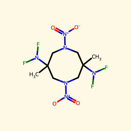 CC1(N(F)F)CN([N+](=O)[O-])CC(C)(N(F)F)CN([N+](=O)[O-])C1